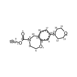 CC(C)(C)OC(=O)N1CCOc2cc(N3CCOCC3)ccc2C1